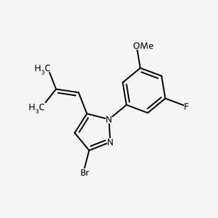 COc1cc(F)cc(-n2nc(Br)cc2C=C(C)C)c1